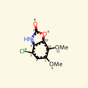 COc1cc(Cl)c2[nH]c(=O)oc2c1OC